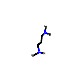 [2H]N([2H])CCCN([2H])[2H]